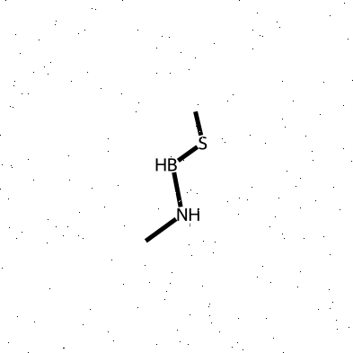 CNBSC